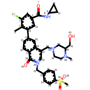 Cc1c(F)cc(C(=O)NC2CC2)cc1-c1ccc2c(=O)n(Cc3ccc(S(C)(=O)=O)cc3)cc(CN3CCN(C)C(CO)C3)c2c1